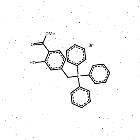 COC(=O)c1ccc(C[P+](c2ccccc2)(c2ccccc2)c2ccccc2)cc1O.[Br-]